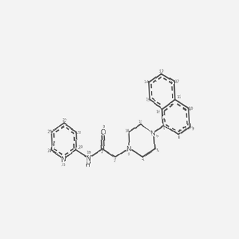 O=C(CN1CCN(c2cccc3ccccc23)CC1)Nc1ccccn1